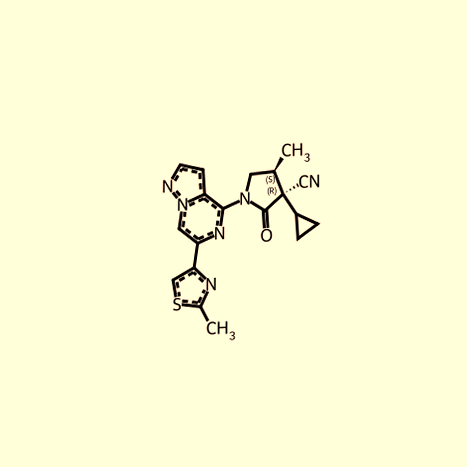 Cc1nc(-c2cn3nccc3c(N3C[C@@H](C)[C@@](C#N)(C4CC4)C3=O)n2)cs1